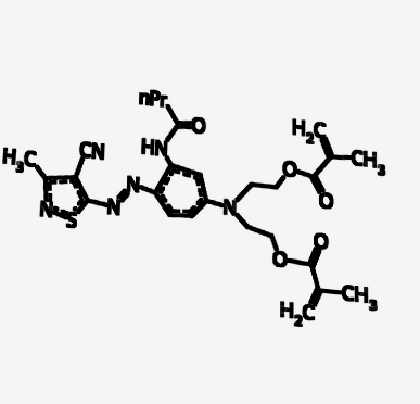 C=C(C)C(=O)OCCN(CCOC(=O)C(=C)C)c1ccc(/N=N/c2snc(C)c2C#N)c(NC(=O)CCC)c1